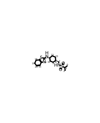 CC(C)S(=O)(=O)NC[C@H]1CC[C@H](Nc2nc3c(s2)CCC=C3)CC1